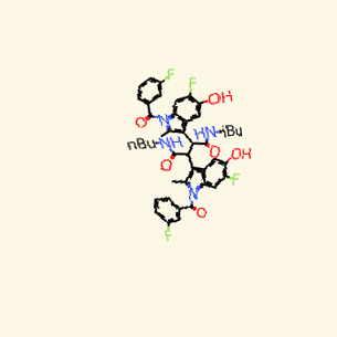 CCCCNC(=O)C(c1c(C)n(C(=O)c2cccc(F)c2)c2cc(F)c(O)cc12)C(C(=O)NC(C)CC)c1c(C)n(C(=O)c2cccc(F)c2)c2cc(F)c(O)cc12